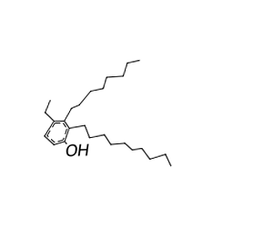 CCCCCCCCCCc1c(O)ccc(CC)c1CCCCCCCC